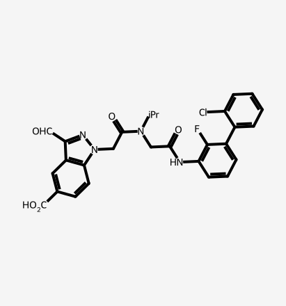 CC(C)N(CC(=O)Nc1cccc(-c2ccccc2Cl)c1F)C(=O)Cn1nc(C=O)c2cc(C(=O)O)ccc21